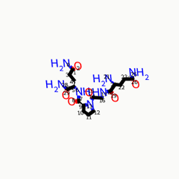 NC(=O)CC[C@H](NC(=O)[C@@H]1CCCN1C(=O)CNC(=O)[C@@H](N)CCC(N)=O)C(N)=O